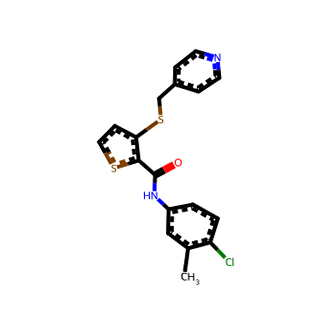 Cc1cc(NC(=O)c2sccc2SCc2ccncc2)ccc1Cl